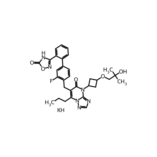 CCCc1c(Cc2ccc(-c3ccccc3-c3noc(=O)[nH]3)cc2F)c(=O)n(C2CC(OCC(C)(C)O)C2)c2ncnn12.[KH]